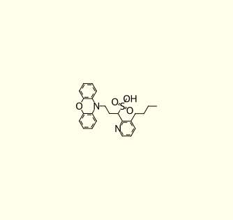 CCCCc1cccnc1C(CCN1c2ccccc2Oc2ccccc21)S(=O)(=O)O